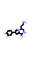 NCCC1CNC(=O)c2cc(-c3ccc(F)c(F)c3)cn21